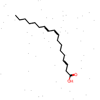 CCCCCC/C=C/C=C\CCCCC=CCC(=O)O